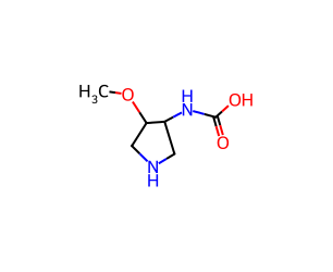 COC1CNCC1NC(=O)O